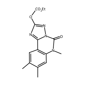 CCOC(=O)Oc1nc2c3cc(C)c(C)cc3n(C)c(=O)n2n1